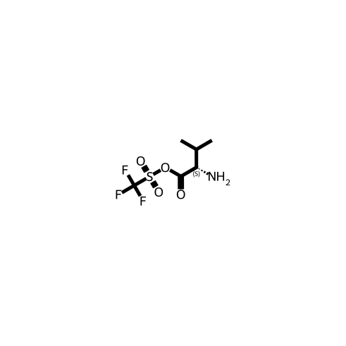 CC(C)[C@H](N)C(=O)OS(=O)(=O)C(F)(F)F